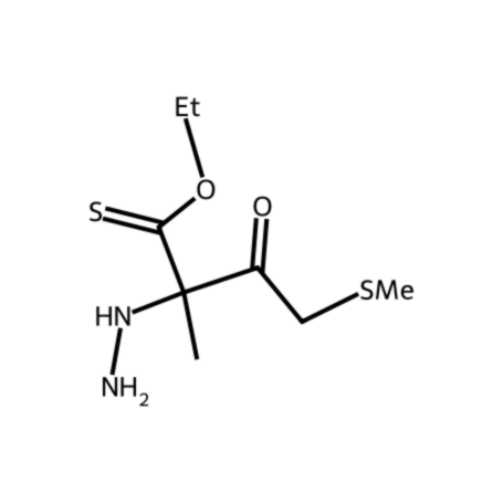 CCOC(=S)C(C)(NN)C(=O)CSC